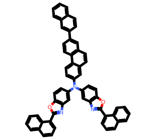 c1ccc2cc(-c3ccc4c(ccc5cc(N(c6ccc7oc(-c8cccc9ccccc89)nc7c6)c6ccc7oc(-c8cccc9ccccc89)nc7c6)ccc54)c3)ccc2c1